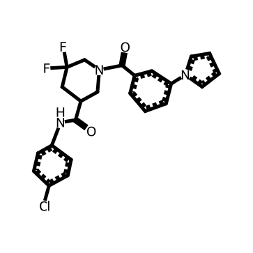 O=C(Nc1ccc(Cl)cc1)C1CN(C(=O)c2cccc(-n3cccc3)c2)CC(F)(F)C1